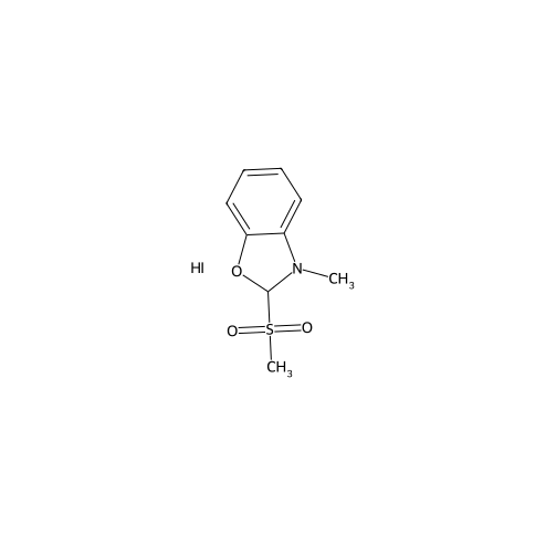 CN1c2ccccc2OC1S(C)(=O)=O.I